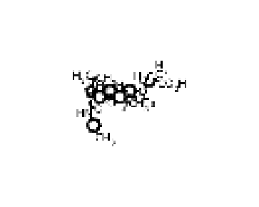 C=C(C)[C@@H]1CC[C@]2(CC(=O)N[C@H]3CC[C@@H](C)CC3)CC[C@]3(C)[C@H](CC[C@@H]4[C@@]5(C)CC[C@H](OC(=O)CC(C)(C)C(=O)O)C(C)(C)[C@@H]5CC[C@]43C)[C@@H]12